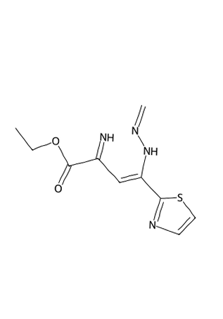 C=NN/C(=C\C(=N)C(=O)OCC)c1nccs1